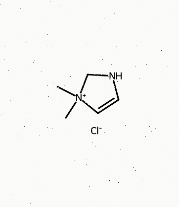 C[N+]1(C)C=CNC1.[Cl-]